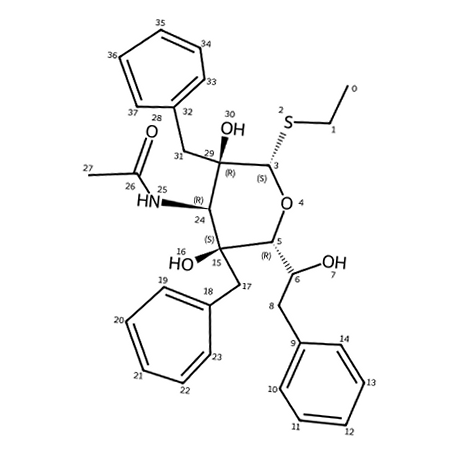 CCS[C@@H]1O[C@H](C(O)Cc2ccccc2)[C@](O)(Cc2ccccc2)[C@@H](NC(C)=O)[C@]1(O)Cc1ccccc1